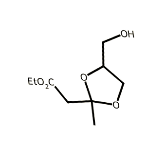 CCOC(=O)CC1(C)OCC(CO)O1